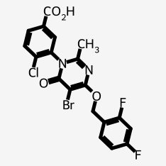 Cc1nc(OCc2ccc(F)cc2F)c(Br)c(=O)n1-c1cc(C(=O)O)ccc1Cl